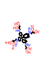 OCC(O)CNc1ccc(C(c2ccc(NCC(O)CO)cc2)(c2ccc(NCC(O)CO)cc2)c2ccc(NCC(O)CO)cc2)cc1